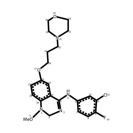 CON1CN=C(Nc2ccc(F)c(Cl)c2)c2cc(OCCCN3CCOCC3)ccc21